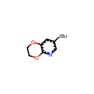 CC(C)(C)c1cnc2c(c1)OCCO2